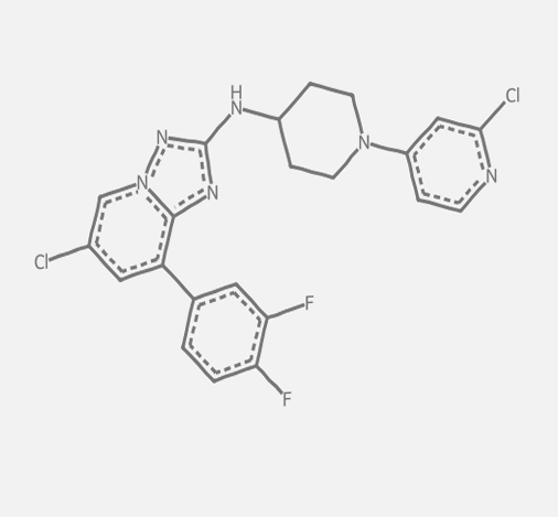 Fc1ccc(-c2cc(Cl)cn3nc(NC4CCN(c5ccnc(Cl)c5)CC4)nc23)cc1F